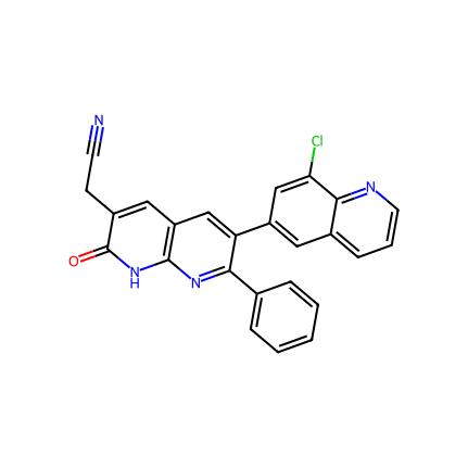 N#CCc1cc2cc(-c3cc(Cl)c4ncccc4c3)c(-c3ccccc3)nc2[nH]c1=O